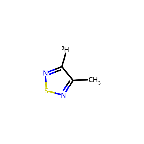 [3H]c1nsnc1C